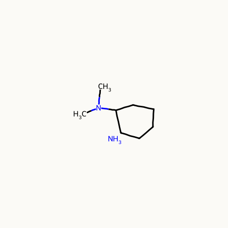 CN(C)C1CCCCC1.N